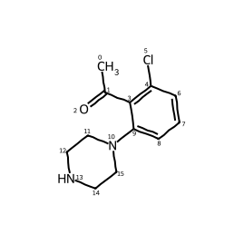 CC(=O)c1c(Cl)cccc1N1CCNCC1